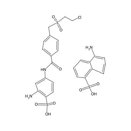 Nc1cc(NC(=O)c2ccc(CS(=O)(=O)CCCl)cc2)ccc1S(=O)(=O)O.Nc1cccc2c(S(=O)(=O)O)cccc12